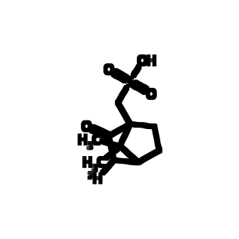 [2H]C1C(=O)C2(CS(=O)(=O)O)CCC1C2(C)C